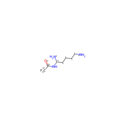 NCCCCC(N)NC(=O)C(F)(F)F